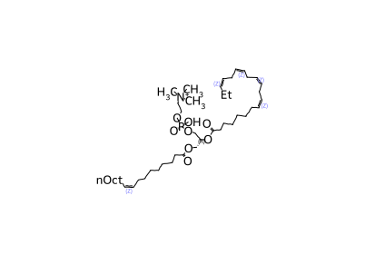 CC/C=C\C/C=C\C/C=C\C/C=C\CCCCCCC(=O)O[C@H](COC(=O)CCCCCCC/C=C\CCCCCCCC)COP(=O)(O)OCC[N+](C)(C)C